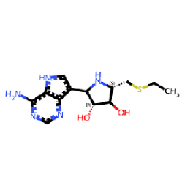 CCSC[C@H]1NC(c2c[nH]c3c(N)ncnc23)[C@@H](O)C1O